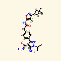 CC(C)n1nc(-c2ccc(CC(=O)Nc3onc(C4CC(C)(C)C4)c3F)cc2)c(C(N)=O)c1N